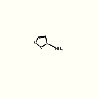 NN1C=COS1